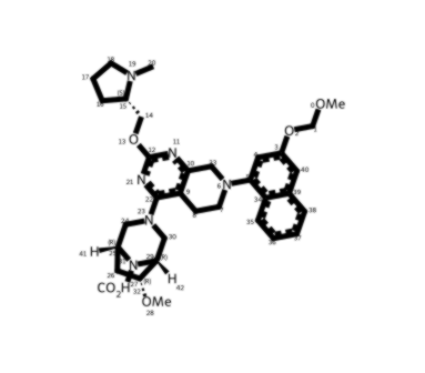 COCOc1cc(N2CCc3c(nc(OC[C@@H]4CCCN4C)nc3N3C[C@H]4C[C@@H](OC)[C@@H](C3)N4C(=O)O)C2)c2ccccc2c1